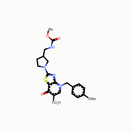 COc1ccc(Cn2cc(C(=O)O)c(=O)c3sc(N4CCC(CNC(=O)OC(C)(C)C)C4)nc32)cc1